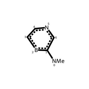 CNc1bccnc1